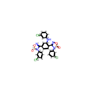 O=S1ON=C(c2ccc(C3=NOS(=O)N3c3cccc(Cl)c3)c(Nc3cccc(Cl)c3)c2)N1c1cccc(Cl)c1